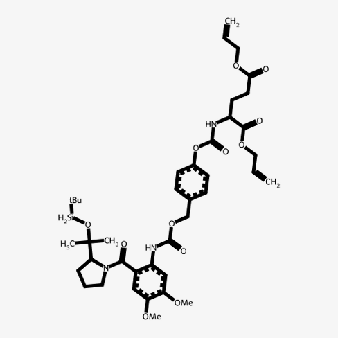 C=CCOC(=O)CCC(NC(=O)Oc1ccc(COC(=O)Nc2cc(OC)c(OC)cc2C(=O)N2CCCC2C(C)(C)O[SiH2]C(C)(C)C)cc1)C(=O)OCC=C